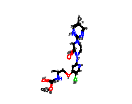 C[C@@H](COc1cc(N2CCN(c3ncc(C(F)(F)F)cn3)CC2=O)ncc1Cl)NC(=O)OC(C)(C)C